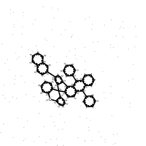 c1ccc(-c2c3ccccc3c(-c3ccccc3)c3c4c(ccc23)C2(c3ccccc3Oc3ccccc32)c2cc(-c3ccc5ccccc5c3)ccc2-4)cc1